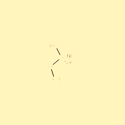 N.N.OOOO